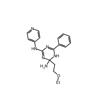 CCOCCC1(N)N=C(Nc2ccncc2)N=C(c2ccccc2)N1